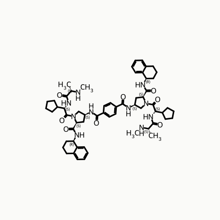 CN[C@@H](C)C(=O)N[C@H](C(=O)N1C[C@@H](NC(=O)c2ccc(C(=O)N[C@H]3C[C@@H](C(=O)N[C@@H]4CCCc5ccccc54)N(C(=O)[C@@H](NC(=O)[C@H](C)NC)C4CCCC4)C3)cc2)C[C@H]1C(=O)N[C@@H]1CCCc2ccccc21)C1CCCC1